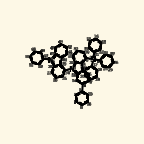 c1ccc(-c2ccc3c4c([Si](c5ccccc5)(c5ccccc5)c5ccccc5)cccc4n(-c4cccc5c4c4ccccc4n5-c4ccccc4)c3c2)cc1